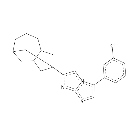 Clc1cccc(-c2csc3nc(C45CC6CCCC(C4)C(C6)C5)cn23)c1